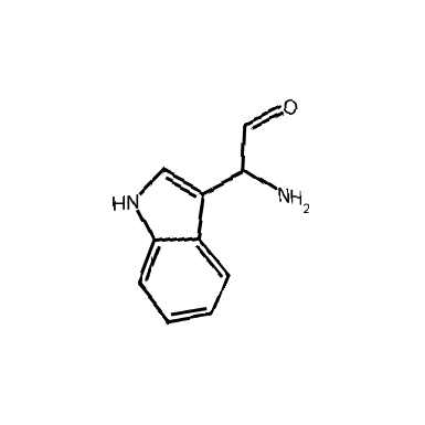 NC(C=O)c1c[nH]c2ccccc12